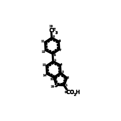 O=C(O)c1cc2cc(-c3ccc(C(F)(F)F)cc3)ccc2s1